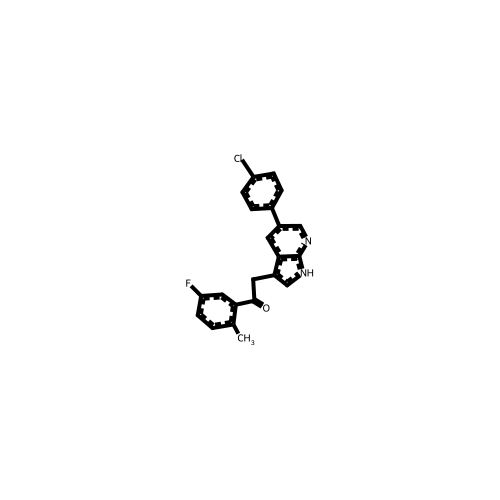 Cc1ccc(F)cc1C(=O)Cc1c[nH]c2ncc(-c3ccc(Cl)cc3)cc12